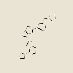 c1cc(-c2ccoc2)c2cc(-c3n[nH]c4cnc(-c5cncc(CN6CCCC6)c5)cc34)[nH]c2c1